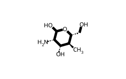 C[C@H]1[C@H](O)[C@H](N)C(O)O[C@@H]1CO